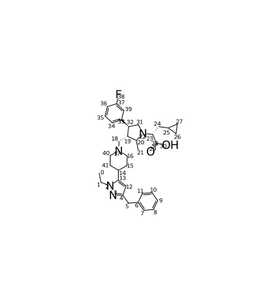 CCn1nc(Cc2ccccc2)cc1C1CCN(C[C@H]2C(C)N([C@H](CC3CC3)C(=O)O)C[C@@H]2c2cccc(F)c2)CC1